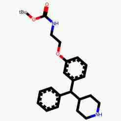 CC(C)(C)OC(=O)NCCOc1cccc(C(c2ccccc2)C2CCNCC2)c1